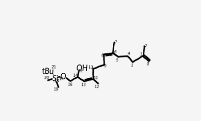 C=C(C)CCCC(C)=CCCC(C)=CC(O)CO[Si](C)(C)C(C)(C)C